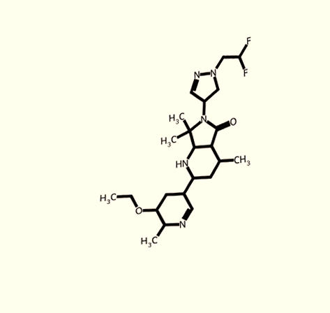 CCOC1CC(C2CC(C)C3C(=O)N(C4C=NN(CC(F)F)C4)C(C)(C)C3N2)C=NC1C